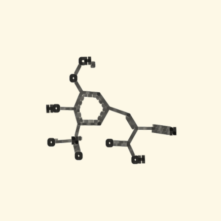 COc1cc(C=C(C#N)C(=O)O)cc([N+](=O)[O-])c1O